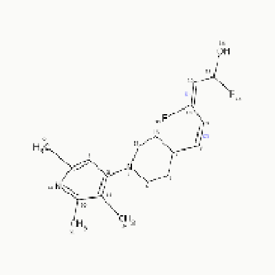 Cc1cc(N2CCC(/C=C\C(F)=C/C(O)F)CC2)c(C)c(C)n1